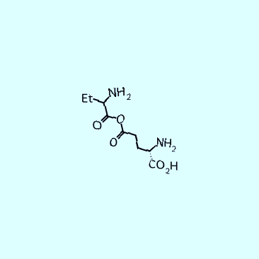 CCC(N)C(=O)OC(=O)CC[C@H](N)C(=O)O